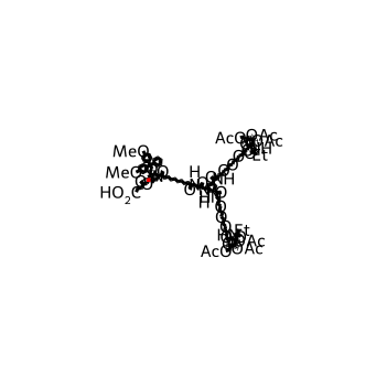 CCC(=O)N[C@H]1C(OCCOCCOCCOCCNC(=O)c2cc(NC(=O)CNC(=O)CCCCCCCCC(=O)N3CC(C)(COC(=O)CCC(=O)O)C(C)(COC(c4ccccc4)(c4ccc(OC)cc4)c4ccc(OC)cc4)C3)cc(C(=O)NCCOCCOCCOCCOC3O[C@H](COC(C)=O)[C@H](OC(C)=O)[C@H](OC(C)=O)[C@H]3NC(=O)CC)c2)O[C@H](COC(C)=O)[C@H](OC(C)=O)[C@@H]1OC(C)=O